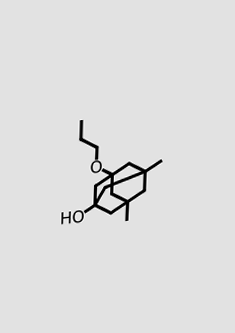 CCCOC12CC3(C)CC(C)(CC(O)(C3)C1)C2